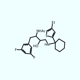 CCc1csc(C2(NCC(O)C(Cc3cc(F)cc(F)c3)NC(C)=O)CCCCC2)c1